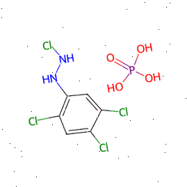 ClNNc1cc(Cl)c(Cl)cc1Cl.O=P(O)(O)O